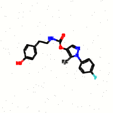 O=C(NCCc1ccc(O)cc1)Oc1cnn(-c2ccc(F)cc2)c1C(F)(F)F